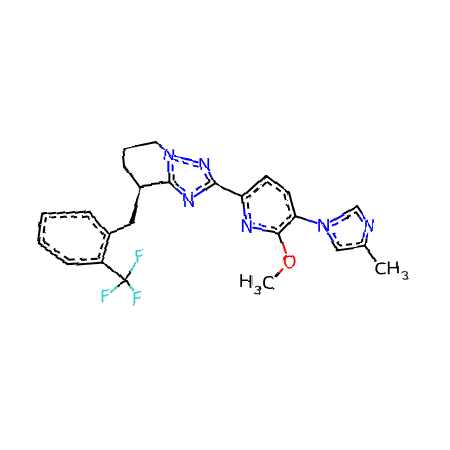 COc1nc(-c2nc3n(n2)CCC[C@@H]3Cc2ccccc2C(F)(F)F)ccc1-n1cnc(C)c1